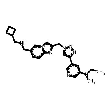 CCN(C)c1cncc(-c2cn(Cc3cn4cc(CNCC5CCC5)ccc4n3)nn2)c1